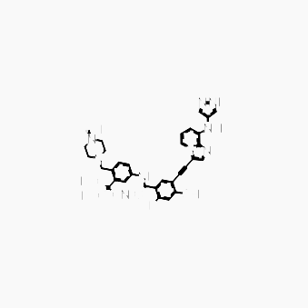 Cc1cc(F)c(C(=O)Nc2ccc(CN3CCN(C)CC3)c(C(C)(C)C#N)c2)cc1C#Cc1cnc2c(Nc3cn[nH]c3)cccn12